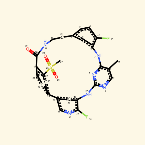 Cc1cnc2nc1Nc1cc(ccc1F)CCNC(=O)c1ccc(cc1S(C)(=O)=O)-c1cnc(F)c(c1)N2